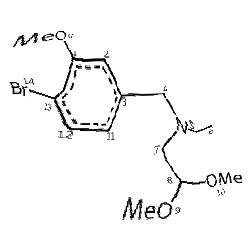 COc1cc(CN(C)CC(OC)OC)ccc1Br